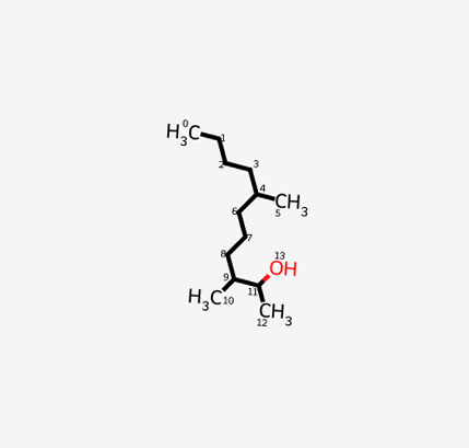 CCCCC(C)CCCC(C)C(C)O